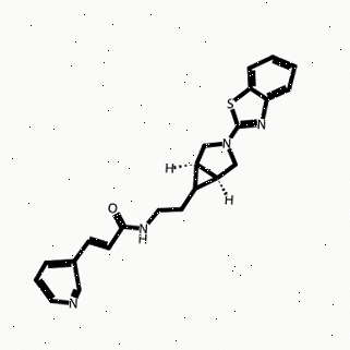 O=C(/C=C/c1cccnc1)NCCC1[C@H]2CN(c3nc4ccccc4s3)C[C@@H]12